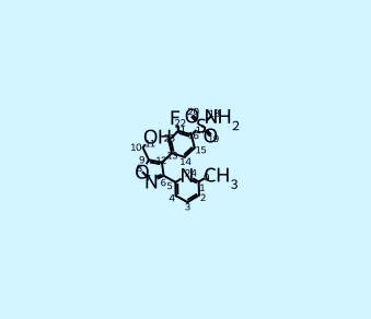 Cc1cccc(-c2noc(CO)c2-c2ccc(S(N)(=O)=O)c(F)c2)n1